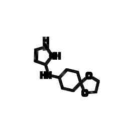 C1=CC(NC2CCC3(CC2)OCCO3)NN1